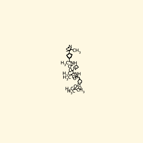 Cc1ncsc1-c1ccc([C@H](C)NC(=O)[C@@H]2CCCN2C(=O)C(NC(=O)CC2CCN(C(=O)OC(C)(C)C)C2)C(C)(C)C)cc1